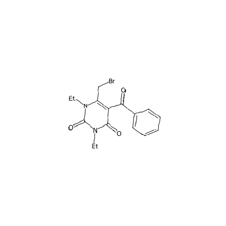 CCn1c(CBr)c(C(=O)c2ccccc2)c(=O)n(CC)c1=O